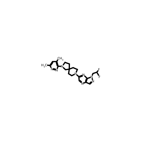 Cc1cc(C)c(N2CCC3(CCN(c4cnc5cnn(CC(F)F)c5n4)CC3)C2)nn1